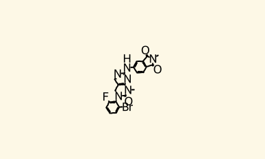 CN1C(=O)c2ccc(Nc3ncc4c(n3)N(C)C(=O)N(c3c(F)cccc3Br)C4)cc2C1=O